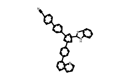 N#Cc1ccc(-c2ccc(-c3cc(-c4ccc(-c5cccc6cccnc56)cc4)cc(C4Nc5ccccc5S4)c3)cc2)cc1